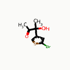 CC(=O)C(C)(O)c1csc(Br)c1